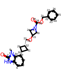 Cn1c(=O)[nH]c2cccc([C@H]3C[C@@H](COC4CN(C(=O)OCc5ccccc5)C4)C3)c21